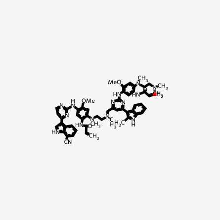 C=CC(=O)Nc1cc(Nc2nc(CN(C)CCN(C)c3cc(OC)c(Nc4nccc(-c5c[nH]c6c(C#N)cccc56)n4)cc3NC(=O)C=C)cc(-c3c(C)[nH]c4ccccc34)n2)c(OC)cc1N(C)CCN(C)C